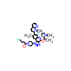 Cc1cc2c(nc(O[C@@H](C)[C@@H]3CCCN3C)c3nnn(C4CCN(C(=O)/C=C/CF)CC4)c32)c(F)c1C1C=Cc2cccnc2N1C#N